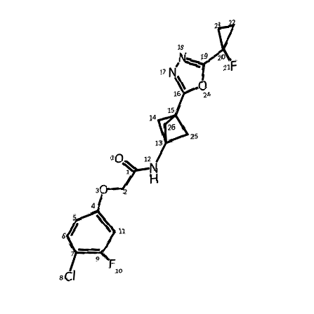 O=C(COc1ccc(Cl)c(F)c1)NC12CC(c3nnc(C4(F)CC4)o3)(C1)C2